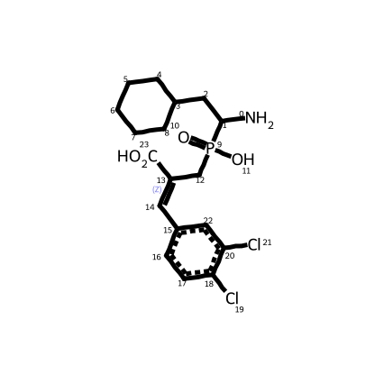 NC(CC1CCCCC1)P(=O)(O)C/C(=C\c1ccc(Cl)c(Cl)c1)C(=O)O